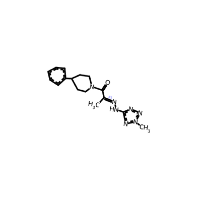 C/C(=N\Nc1nnn(C)n1)C(=O)N1CCC(c2ccccc2)CC1